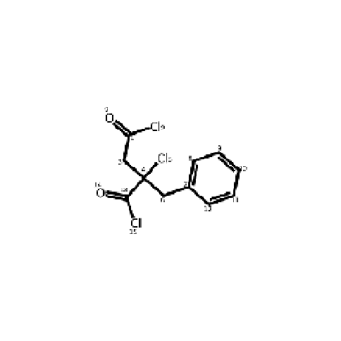 O=C(Cl)CC(Cl)(Cc1ccccc1)C(=O)Cl